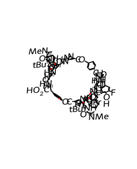 CCCN(C(=O)[C@@H](NC(=O)[C@H](C)NC)C(C)(C)C)[C@@H]1C(=O)N[C@@H](Cc2ccc3ccccc3c2)C(=O)N[C@H](C(=O)NCc2cc(F)c(O)c(F)c2)Cc2ccc(cc2)OCc2cn(nn2)[C@@H]2CCN(C(=O)[C@@H](NC(=O)[C@H](C)NC)C(C)(C)C)[C@@H]2C(=O)N[C@@H](Cc2ccc3ccccc3c2)C(=O)N[C@H](C(=O)O)Cc2ccc(cc2)OCc2cn1nn2